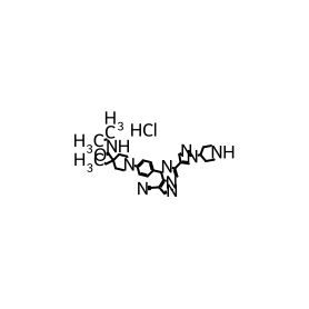 CCC1(C(=O)NC(C)C)CCN(c2ccc(-c3nc(-c4cnn(C5CCNCC5)c4)cn4ncc(C#N)c34)cc2)CC1.Cl